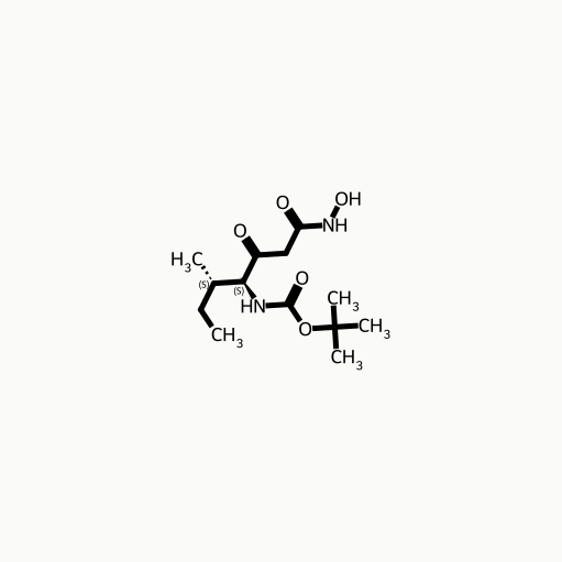 CC[C@H](C)[C@H](NC(=O)OC(C)(C)C)C(=O)CC(=O)NO